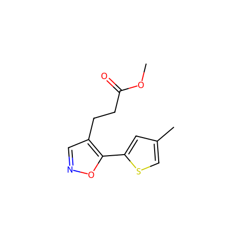 COC(=O)CCc1cnoc1-c1cc(C)cs1